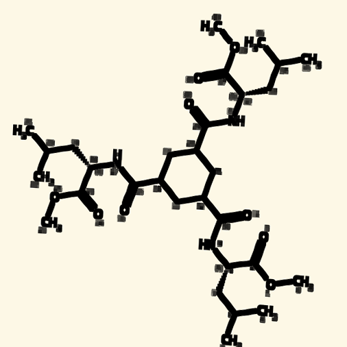 COC(=O)[C@H](CC(C)C)NC(=O)C1CC(C(=O)N[C@@H](CC(C)C)C(=O)OC)CC(C(=O)N[C@@H](CC(C)C)C(=O)OC)C1